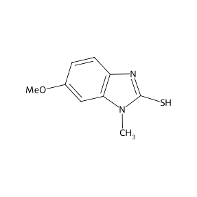 COc1ccc2nc(S)n(C)c2c1